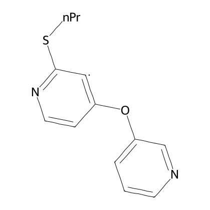 CCCSc1[c]c(Oc2cccnc2)ccn1